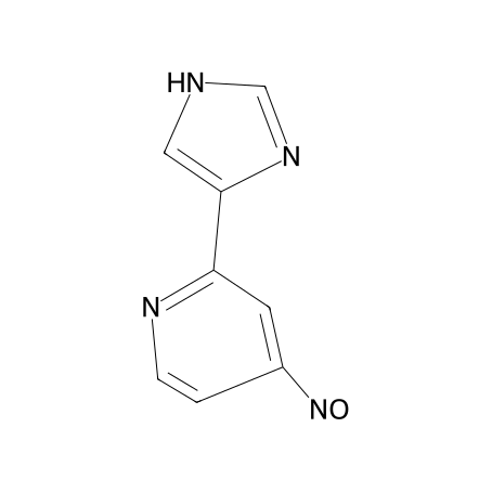 O=Nc1ccnc(-c2c[nH]cn2)c1